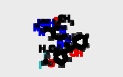 CCn1c(C(O)(c2ccccc2)c2ccc(OC(F)F)cc2)nc2nc(OC)c(-c3nnn[nH]3)cc21